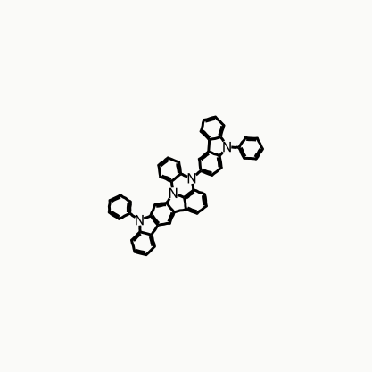 c1ccc(-n2c3ccccc3c3cc(N4c5ccccc5-n5c6cc7c(cc6c6cccc4c65)c4ccccc4n7-c4ccccc4)ccc32)cc1